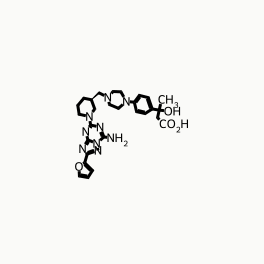 CC(O)(CC(=O)O)c1ccc(N2CCN(C[C@@H]3CCCN(c4nc(N)n5nc(-c6ccco6)nc5n4)C3)CC2)cc1